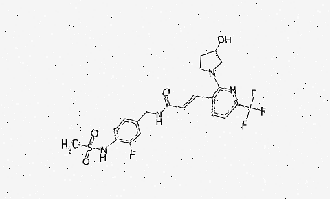 CS(=O)(=O)Nc1ccc(CNC(=O)C=Cc2ccc(C(F)(F)F)nc2N2CCC(O)C2)cc1F